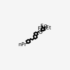 CCCC1CCC(CCC2CCC3CC(COc4ccc(OCC)c(F)c4F)CCC3C2)CC1